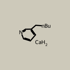 CCCCCc1cccnc1.[CaH2]